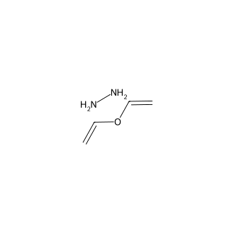 C=COC=C.NN